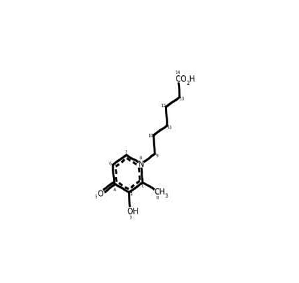 Cc1c(O)c(=O)ccn1CCCCCC(=O)O